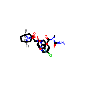 CN(C(N)=O)C(=O)c1cc(Cl)cnc1NCC(=O)N1[C@@H]2CC[C@H]1CC(Oc1ccc(F)cc1)C2